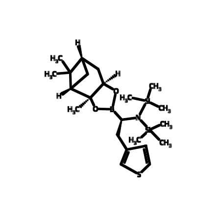 CC1(C)[C@@H]2C[C@H]3OB([C@H](Cc4ccsc4)N([Si](C)(C)C)[Si](C)(C)C)O[C@@]3(C)[C@H]1C2